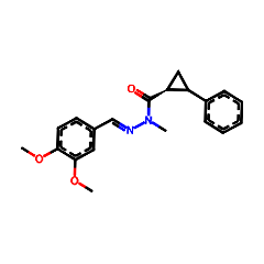 COc1ccc(C=NN(C)C(=O)[C@H]2CC2c2ccccc2)cc1OC